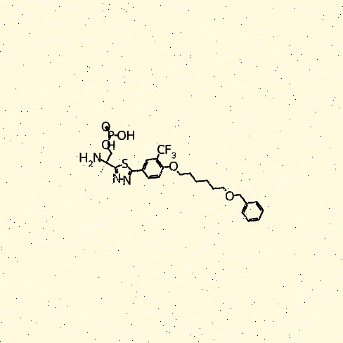 C[C@](N)(CO[PH](=O)O)c1nnc(-c2ccc(OCCCCCCOCc3ccccc3)c(C(F)(F)F)c2)s1